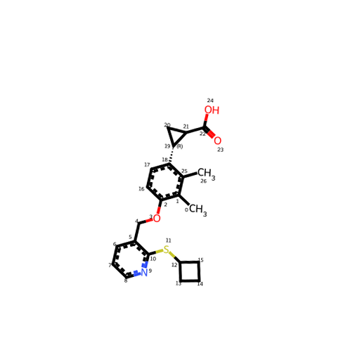 Cc1c(OCc2cccnc2SC2CCC2)ccc([C@@H]2CC2C(=O)O)c1C